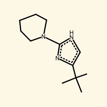 CC(C)(C)c1c[nH]c(N2CCCCC2)n1